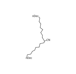 CCCCCCCCCCCCCCCCCCC(C#N)CCCCCCCCCCCCCCCCCC